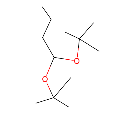 CCCC(OC(C)(C)C)OC(C)(C)C